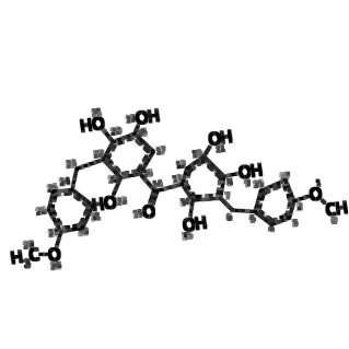 COc1ccc(Cc2c(O)c(O)cc(C(=O)c3cc(O)c(O)c(Cc4ccc(OC)cc4)c3O)c2O)cc1